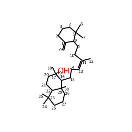 C=C1CCCC(C)(C)C1CCC(C)=CCCC1C(C)(O)CCC2C(C)(C)CCCC21C